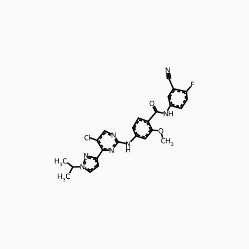 COc1cc(Nc2ncc(Cl)c(-c3ccn(C(C)C)n3)n2)ccc1C(=O)Nc1ccc(F)c(C#N)c1